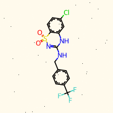 O=S1(=O)N=C(NCc2ccc(C(F)(F)F)cc2)Nc2cc(Cl)ccc21